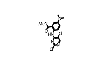 CNC(=O)c1cc(N(C)C)ccc1Nc1nc(Cl)ncc1Cl